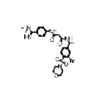 C[C@H](NC(=O)CC(=O)Nc1ccc(C(=N)N)cc1)c1ccc(S(=O)(=O)N2CCOCC2)c(Br)c1